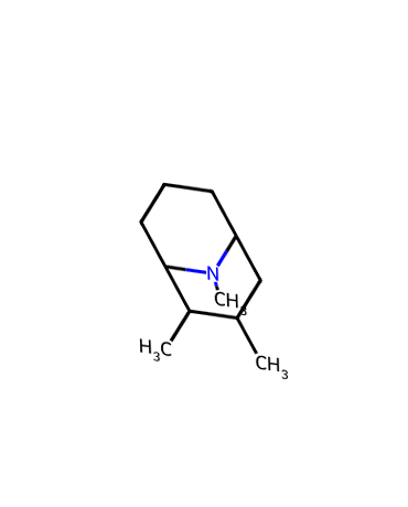 CC1CC2CCCC(C1C)N2C